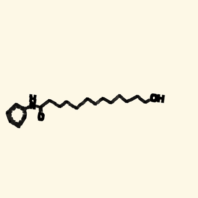 O=C(CCCCCCCCCCCCO)Nc1ccccc1